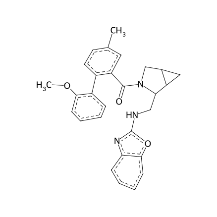 COc1ccccc1-c1ccc(C)cc1C(=O)N1CC2CC2C1CNc1nc2ccccc2o1